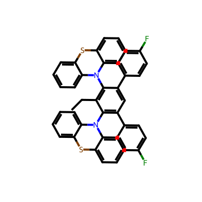 CCc1c(N2c3ccccc3Sc3ccccc32)c(-c2ccc(F)cc2)cc(-c2ccc(F)cc2)c1N1c2ccccc2Sc2ccccc21